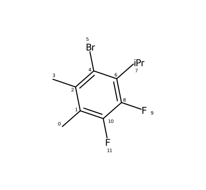 Cc1c(C)c(Br)c(C(C)C)c(F)c1F